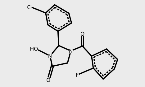 O=C1CN(C(=O)c2ccccc2F)C(c2cccc(Cl)c2)N1O